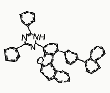 c1ccc(C2=NC(c3ccc(-c4ccc(-c5cccc6ccccc56)cc4)c4c3oc3ccc5ccccc5c34)NC(c3ccccc3)=N2)cc1